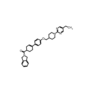 CCc1cnc(N2CCC(COc3ccc(C4=CCC(C(=O)N5Cc6ccccc6C5)CC4)cc3)CC2)nc1